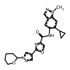 Cn1ncc2cc(NC(=O)c3coc(-c4cnn(C5CCCCO5)c4)n3)c(C3CC3)cc21